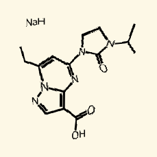 CCc1cc(N2CCN(C(C)C)C2=O)nc2c(C(=O)O)cnn12.[NaH]